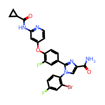 NC(=O)c1cn(-c2ccc(F)cc2Br)c(-c2ccc(Oc3ccnc(NC(=O)C4CC4)c3)c(F)c2)n1